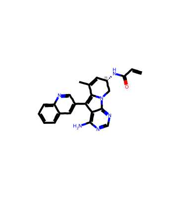 C=CC(=O)N[C@H]1C=C(C)c2c(-c3cnc4ccccc4c3)c3c(N)ncnc3n2C1